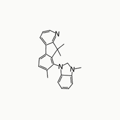 Cc1ccc2c(c1N1CN(C)c3ccccc31)C(C)(C)c1ncccc1-2